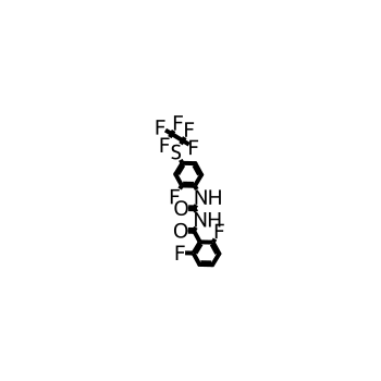 O=C(NC(=O)c1c(F)cccc1F)Nc1ccc(SC(F)(F)C(F)(F)F)cc1F